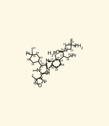 Cc1nonc1C(=O)N(C)[C@H](c1nc2c(P)c(C(CC(C)C)C(=O)N3CC(F)(P)C3)ccc2[nH]1)C1CCC(F)(I)CC1